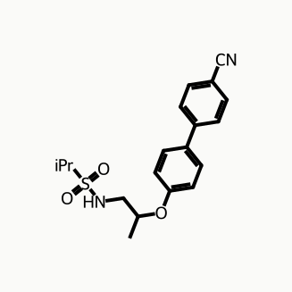 CC(CNS(=O)(=O)C(C)C)Oc1ccc(-c2ccc(C#N)cc2)cc1